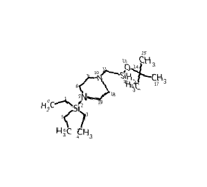 CC[Si](CC)(CC)N1CCN(C[SiH2]OC(C)(C)C)CC1